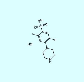 CCCS(=O)(=O)c1cc(F)c(N2CCNCC2)cc1F.Cl